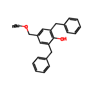 CCCCOCc1cc(Cc2ccccc2)c(O)c(Cc2ccccc2)c1